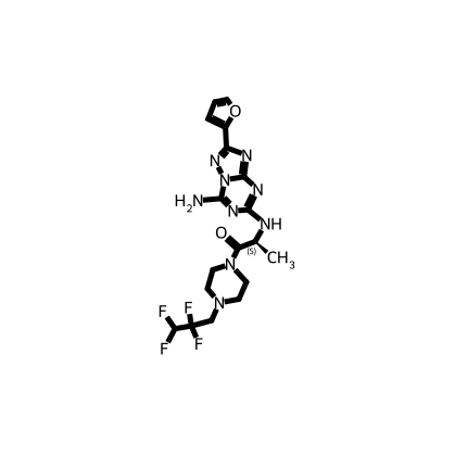 C[C@H](Nc1nc(N)n2nc(-c3ccco3)nc2n1)C(=O)N1CCN(CC(F)(F)C(F)F)CC1